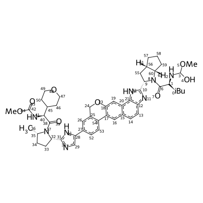 CC[C@H](C)[C@H](NC(O)OC)C(=O)N1[C@H](c2nc3ccc4cc5c(cc4c3[nH]2)OCc2cc(-c3cnc([C@@H]4CC[C@H](C)N4C(=O)[C@@H](NC(=O)OC)C4CCOCC4)[nH]3)ccc2-5)C[C@@H]2CCC[C@@H]21